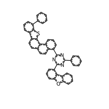 c1ccc(-c2nc(-c3cccc4c3ccc3ccc5c6cccc(-c7ccccc7)c6sc5c34)nc(-c3cccc4oc5ccccc5c34)n2)cc1